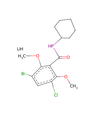 COc1c(Cl)cc(Br)c(OC)c1C(=O)PC1CCCCC1.[LiH]